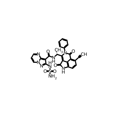 C#Cc1ccc2c3c(c([C@@H](C)NC(=O)c4c(NS(N)(=O)=O)nn5cccnc45)n(-c4ccccc4)c(=O)c13)C(=O)N2